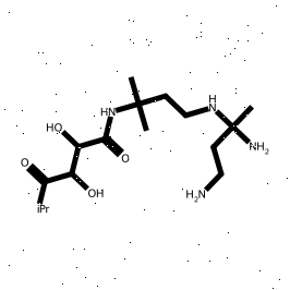 CC(C)C(=O)C(O)C(O)C(=O)NC(C)(C)CCNC(C)(N)CCN